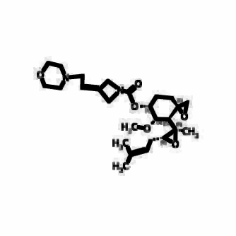 CO[C@@H]1[C@H](OC(=O)N2CC(=CCN3CCOCC3)C2)CC[C@]2(CO2)[C@H]1[C@@]1(C)O[C@@H]1CC=C(C)C